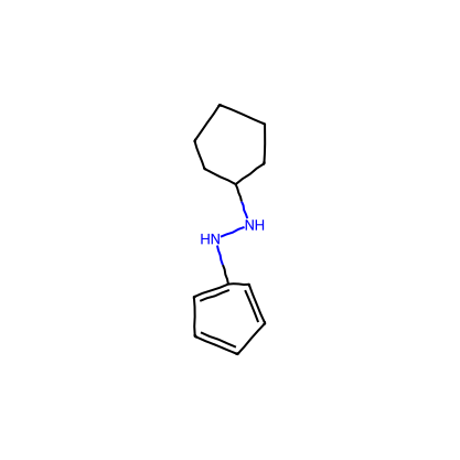 c1ccc(NNC2CCCCC2)cc1